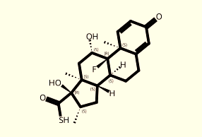 C[C@H]1C[C@H]2[C@@H]3CCC4=CC(=O)C=C[C@]4(C)[C@@]3(F)[C@@H](O)C[C@]2(C)[C@@]1(O)C(=O)S